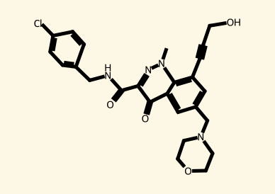 Cn1nc(C(=O)NCc2ccc(Cl)cc2)c(=O)c2cc(CN3CCOCC3)cc(C#CCO)c21